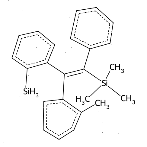 Cc1ccccc1C(=C(c1ccccc1)[Si](C)(C)C)c1ccccc1[SiH3]